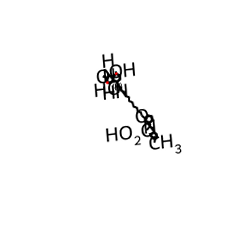 Cc1ccc(CN(C(=O)O)c2cccc(OCCCCCCCCCNC[C@H](O)c3ccc(O)c4[nH]c(=O)ccc34)c2)cc1